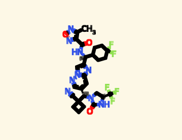 Cc1nonc1C(=O)N[C@H](c1cn2ncc([C@H](N3C[C@@H](C(F)(F)F)NC3=O)C3(C#N)CCC3)cc2n1)C1CCC(F)(F)CC1